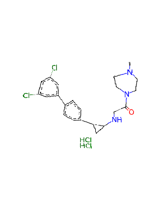 CN1CCN(C(=O)CNC2CC2c2ccc(-c3cc(Cl)cc(Cl)c3)cc2)CC1.Cl.Cl